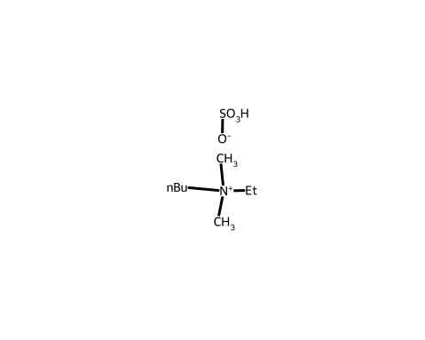 CCCC[N+](C)(C)CC.O=S(=O)([O-])O